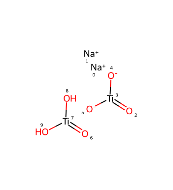 [Na+].[Na+].[O]=[Ti]([O-])[O-].[O]=[Ti]([OH])[OH]